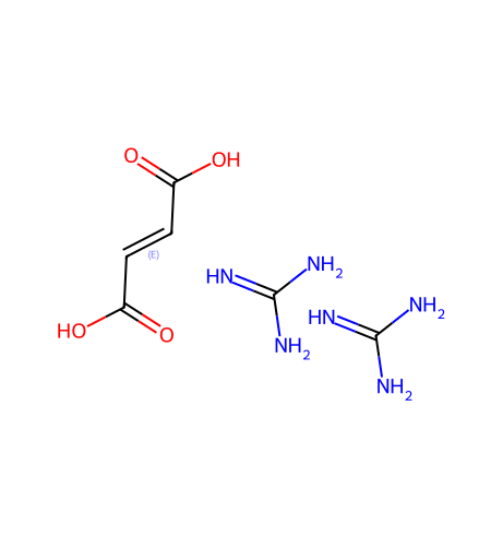 N=C(N)N.N=C(N)N.O=C(O)/C=C/C(=O)O